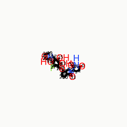 O=C1CCC(N2Cc3c(OCc4c(O)c(O)c(CN5CCOCC5)c(O)c4F)cccc3C2=O)C(=O)N1